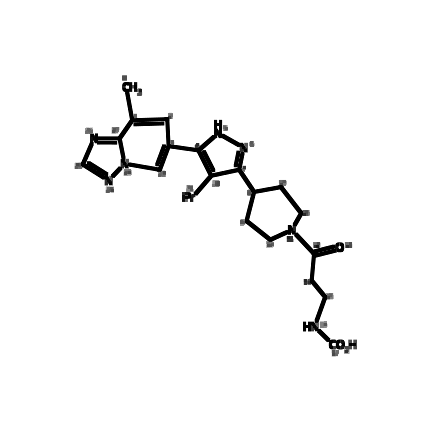 Cc1cc(-c2[nH]nc(C3CCN(C(=O)CCNC(=O)O)CC3)c2C(C)C)cn2ncnc12